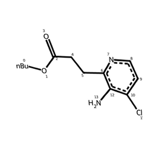 CCCCOC(=O)CCc1nccc(Cl)c1N